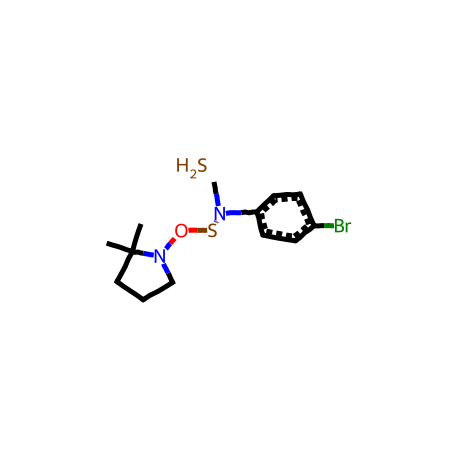 CN(SON1CCCC1(C)C)c1ccc(Br)cc1.S